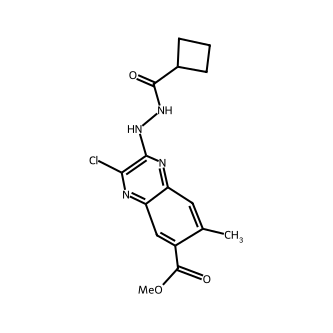 COC(=O)c1cc2nc(Cl)c(NNC(=O)C3CCC3)nc2cc1C